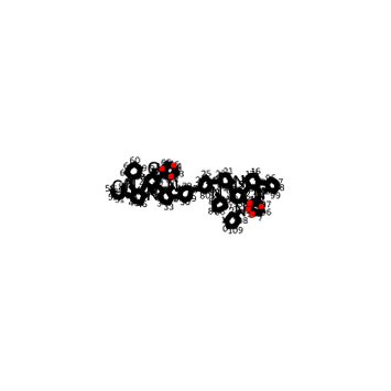 c1ccc(-n2c3ccccc3c3c4c5c6c(ccc5n5c7ccc8c9ccc(-c%10ccc%11c%12ccc%13c(c%14c%15c(cc%16c%17c%18c(ccc%17n%13c%16%14)c%13ccccc%13n%18-c%13ccccc%13)oc%13ccccc%13%15)c%12n(-c%12ccccc%12)c%11c%10)cc9n(-c9ccccc9)c8c7c(cc32)c45)c2ccccc2n6-c2ccccc2)cc1